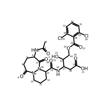 CC(=O)NC1CCC(=O)N2CCCC(C(=O)NC(CC(=O)O)C(O)COC(=O)c3c(Cl)cccc3Cl)N2C1=O